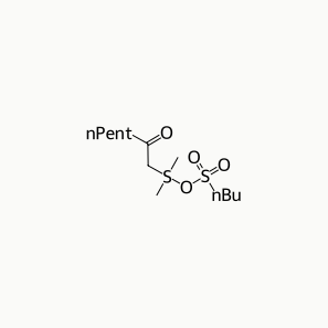 CCCCCC(=O)CS(C)(C)OS(=O)(=O)CCCC